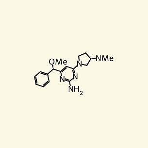 CN[C@@H]1CCN(c2cc([C@H](OC)c3ccccc3)nc(N)n2)C1